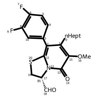 CCCCCCCc1c(-c2ccc(F)c(F)c2)c2n(c(=O)c1OC)[C@H](C=O)CS2